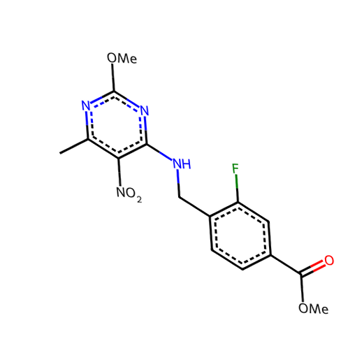 COC(=O)c1ccc(CNc2nc(OC)nc(C)c2[N+](=O)[O-])c(F)c1